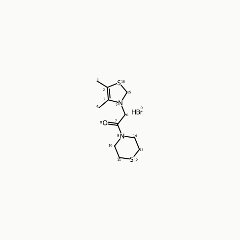 Br.CC1=C(C)N(CC(=O)N2CCSCC2)CS1